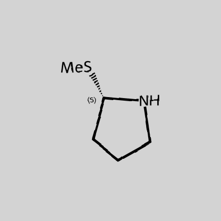 CS[C@H]1CCCN1